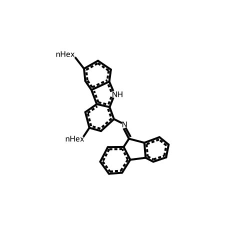 CCCCCCc1ccc2[nH]c3c(N=C4c5ccccc5-c5ccccc54)cc(CCCCCC)cc3c2c1